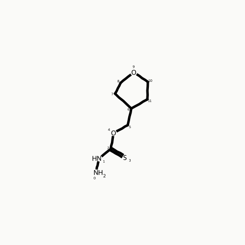 NNC(=S)OCC1CCOCC1